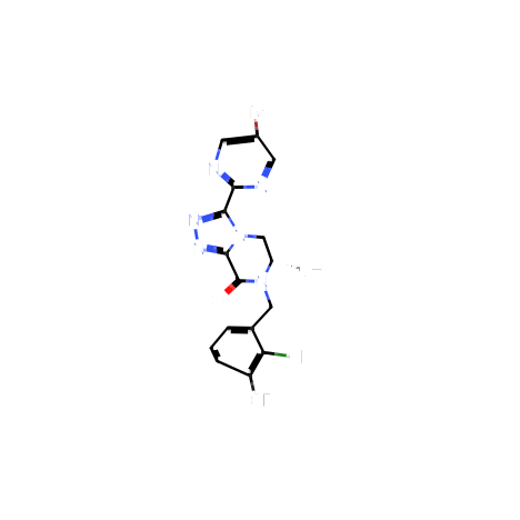 C[C@H]1Cn2c(nnc2-c2ncc(Br)cn2)C(=O)N1Cc1cccc(C(F)(F)F)c1Cl